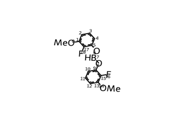 COc1cccc(OBOc2cccc(OC)c2F)c1F